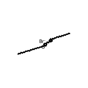 CCCCCCCCCCCCCCCCCCCCCCOc1ccc(C=Cc2cc[n+](CCCCCCCCCCCCCCCC)cc2)cc1.[Br-]